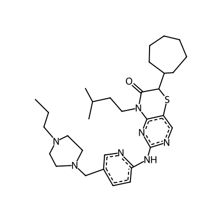 CCCN1CCN(Cc2ccc(Nc3ncc4c(n3)N(CCC(C)C)C(=O)C(C3CCCCCC3)S4)nc2)CC1